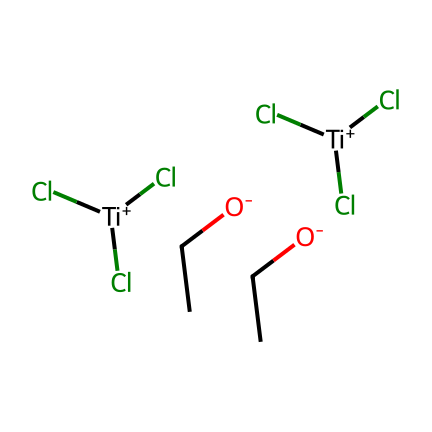 CC[O-].CC[O-].[Cl][Ti+]([Cl])[Cl].[Cl][Ti+]([Cl])[Cl]